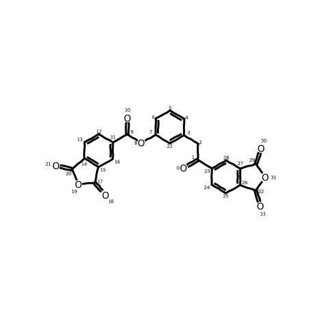 O=C(Cc1cccc(OC(=O)c2ccc3c(c2)C(=O)OC3=O)c1)c1ccc2c(c1)C(=O)OC2=O